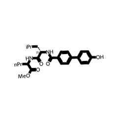 CCCC(NC(=O)[C@H](CC(C)C)NC(=O)c1ccc(-c2ccc(O)cc2)cc1)C(=O)OC